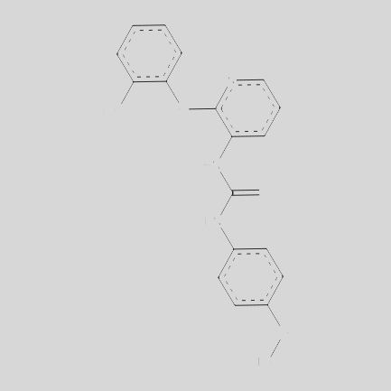 CC(C)(C)Oc1ccc(NC(=O)Nc2cccnc2Oc2ccccc2C(F)(F)F)cc1